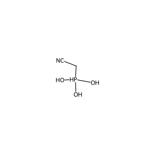 N#CC[PH](O)(O)O